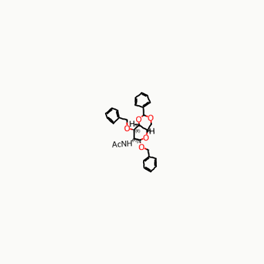 CC(=O)N[C@H]1[C@@H](OCc2ccccc2)O[C@@H]2COC(c3ccccc3)O[C@H]2[C@@H]1OCc1ccccc1